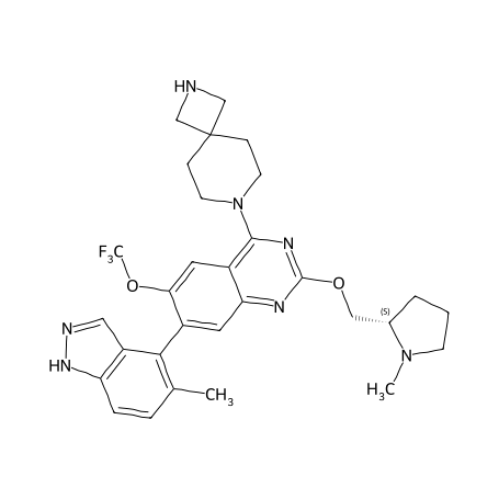 Cc1ccc2[nH]ncc2c1-c1cc2nc(OC[C@@H]3CCCN3C)nc(N3CCC4(CC3)CNC4)c2cc1OC(F)(F)F